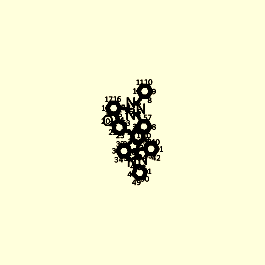 c1ccc(-c2nc(-c3ccccc3)nc(-c3cccc4oc5ccc(-c6cccc7c6-c6ccccc6C76c7ccccc7-n7c6nc6ccccc67)cc5c34)n2)cc1